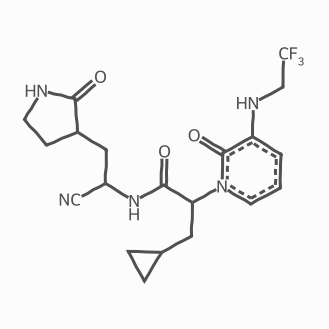 N#CC(CC1CCNC1=O)NC(=O)C(CC1CC1)n1cccc(NCC(F)(F)F)c1=O